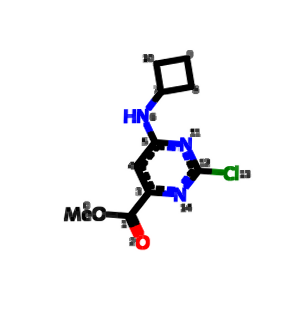 COC(=O)c1cc(NC2CCC2)nc(Cl)n1